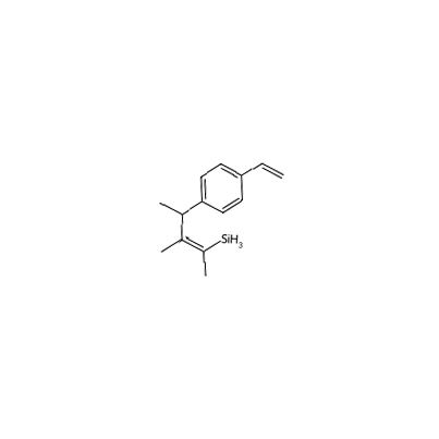 C=Cc1ccc(C(C)C(C)=C(C)[SiH3])cc1